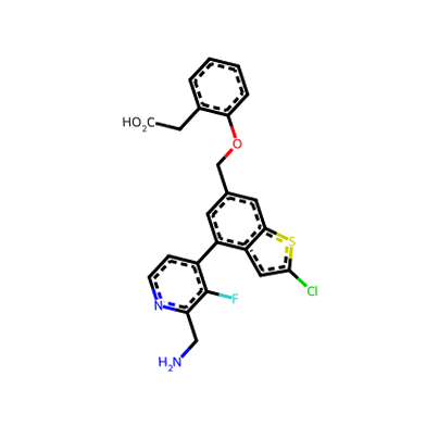 NCc1nccc(-c2cc(COc3ccccc3CC(=O)O)cc3sc(Cl)cc23)c1F